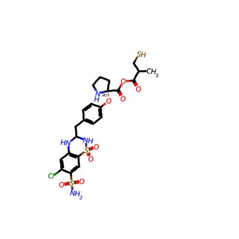 CC(CS)C(=O)OC(=O)[C@]1(Oc2ccc(CC3Nc4cc(Cl)c(S(N)(=O)=O)cc4S(=O)(=O)N3)cc2)CCCN1